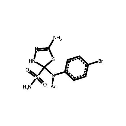 CC(=O)N(c1ccc(Br)cc1)C1(S(N)(=O)=O)NN=C(N)S1